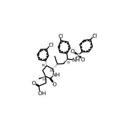 CC(C[C@H](NS(=O)(=O)c1ccc(Cl)cc1)c1ccc(Cl)cc1)[C@@H]1NC(=O)[C@](C)(CC(=O)O)C[C@@H]1c1cccc(Cl)c1